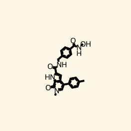 Cc1ccc(-c2cn(C)c(=O)c3[nH]c(C(=O)NCc4ccc(C(=O)NO)cc4)cc23)cc1